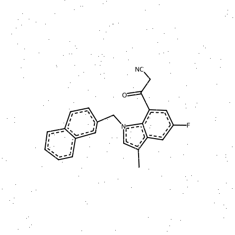 Cc1cn(Cc2ccc3ccccc3c2)c2c(C(=O)CC#N)cc(F)cc12